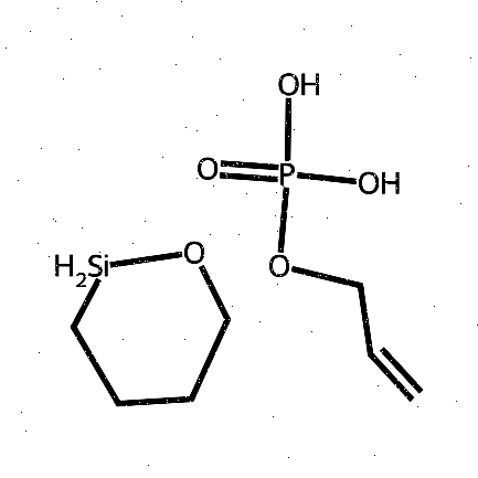 C1CC[SiH2]OC1.C=CCOP(=O)(O)O